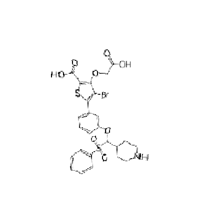 O=C(O)COc1c(C(=O)O)sc(-c2cccc(OC(C3CCNCC3)S(=O)(=O)c3ccccc3)c2)c1Br